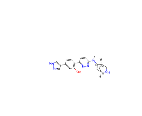 CN(c1ccc(-c2ccc(-c3cn[nH]c3)cc2O)nn1)[C@@H]1C[C@H]2C[C@@H]1CN2